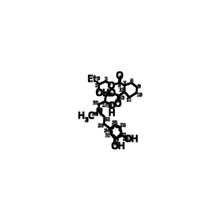 CCC(O)COC(=O)C1CCCCC1C(=O)OCC(O)CN(C)CCc1ccc(O)c(O)c1